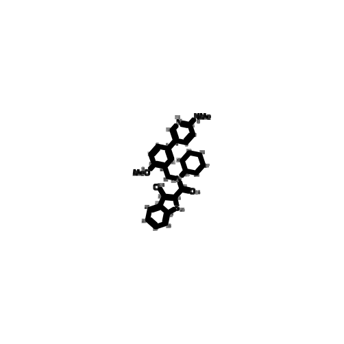 CNc1ccc(-c2ccc(OC)c(CN(C(=O)c3sc4ccccc4c3Cl)C3CCCCC3)c2)cn1